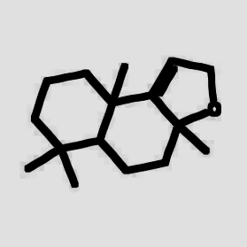 CC12CCC3C(C)(C)CCCC3(C)C1=CCO2